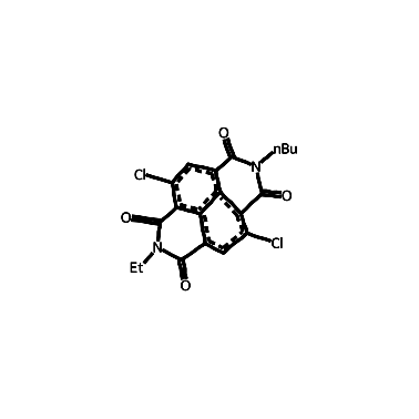 CCCCN1C(=O)c2cc(Cl)c3c4c(cc(Cl)c(c24)C1=O)C(=O)N(CC)C3=O